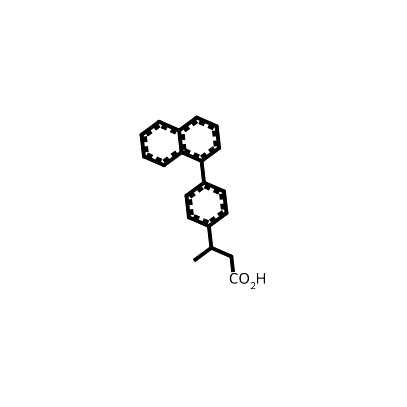 CC(CC(=O)O)c1ccc(-c2cccc3ccccc23)cc1